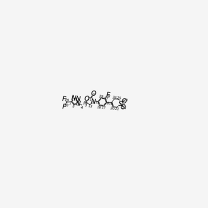 O=C1O[C@@H](Cn2cc(C(F)F)nn2)CN1c1ccc(C2=CCS(=O)(=O)CC2)c(F)c1